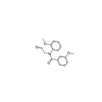 COc1cccc(C(=O)N(CC=O)c2ccccc2OC)c1